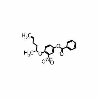 C=CCC[C@H](C)Oc1ccc(OC(=O)c2ccccc2)cc1[N+](=O)[O-]